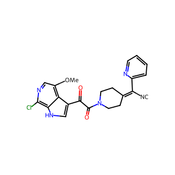 [C-]#[N+]C(=C1CCN(C(=O)C(=O)c2c[nH]c3c(Cl)ncc(OC)c23)CC1)c1ccccn1